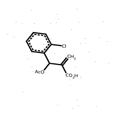 C=C(C(=O)O)C(OC(C)=O)c1ccccc1Cl